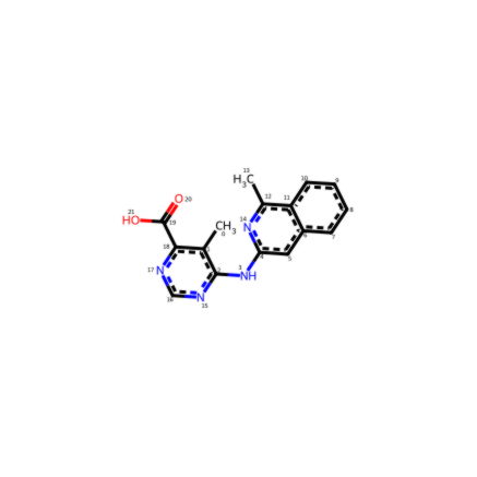 Cc1c(Nc2cc3ccccc3c(C)n2)ncnc1C(=O)O